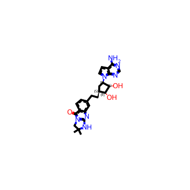 CC1(C)Cn2c(nc3cc(CC[C@H]4C[C@@H](n5ccc6c(N)ncnc65)[C@H](O)[C@@H]4O)ccc3c2=O)N1